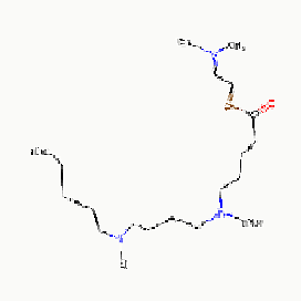 CCCCCCCCCCCCCCN(CC)CCCCN(CCCCCCCCC)CCCCC(=O)SCCN(C)CC